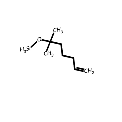 C=CCCCC(C)(C)O[SiH3]